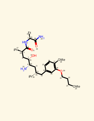 CC[C@H](NC(=O)[C@@H](C[C@H](O)[C@@H](N)C[C@H](Cc1ccc(OC)c(OCCCOC)c1)C(C)C)C(C)C)C(N)=O